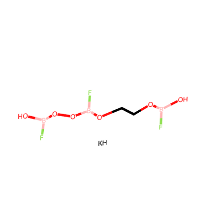 OB(F)OCCOB(F)OOB(O)F.[KH]